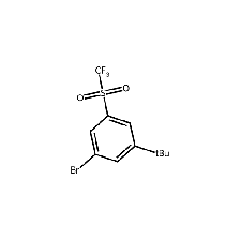 CC(C)(C)c1cc(Br)cc(S(=O)(=O)C(F)(F)F)c1